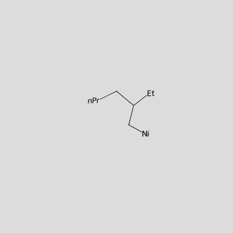 CCCCC(CC)[CH2][Ni]